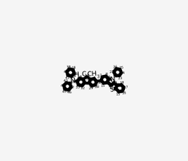 CC1(C)c2cc(-c3ccc4c(c3)c3sc5ccccc5c3n4-c3ccccc3)ccc2-c2ccc(N(c3ccccc3)c3ccccc3)cc21